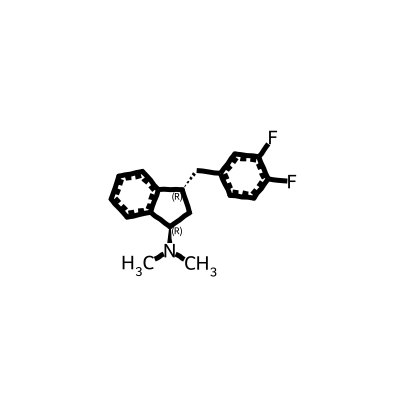 CN(C)[C@@H]1C[C@@H](Cc2ccc(F)c(F)c2)c2ccccc21